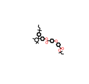 CCCC(C)(C)c1ccc(C2(c3ccc(OC(=O)c4ccc(Oc5ccc(C(=O)OC(C)(C)CC)cc5)cc4)cc3)CC(C)CC(C)(C)C2)cc1